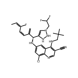 C=C(/C=C\C(F)=C/C)[C@H](Nc1cc(Cl)c2ncc(C#N)c(NCC(C)(C)C)c2c1)C1=CN(CC(F)F)NN1